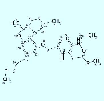 C=C[NH+]([O-])C(=O)C(CCSC)NC(=O)COc1cc(CCCCC)cc2c1C1C=C(C)CCC1C(=C)O2